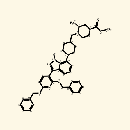 Cn1nc(-c2ccc(OCc3ccccc3)nc2OCc2ccccc2)c2cccc(N3CCC(CN4CCN(C(=O)OC(C)(C)C)C[C@@H]4C(F)(F)F)CC3)c21